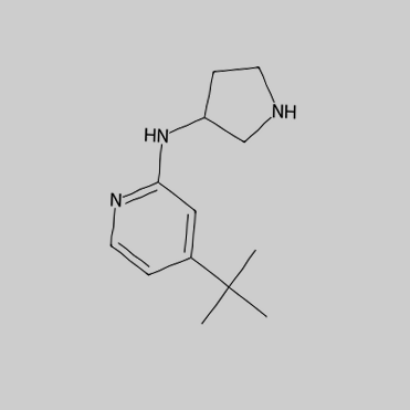 CC(C)(C)c1ccnc(NC2CCNC2)c1